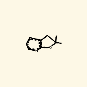 CC1(C)Cc2cccnc2O1